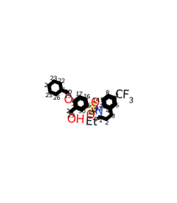 CCC1CCc2cc(C(F)(F)F)ccc2N1S(=O)(=O)c1ccc(OCC2CCCCC2)c(CO)c1